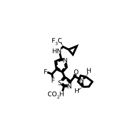 O=C(O)c1nc(C(=O)N2[C@H]3CC[C@@H]2CC3)c(-c2cnc(N[C@@H](C3CC3)C(F)(F)F)cc2C(F)F)s1